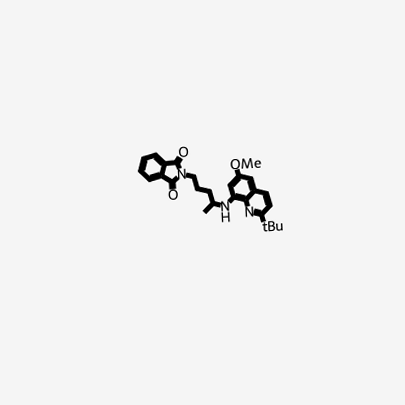 COc1cc(NC(C)CCCN2C(=O)c3ccccc3C2=O)c2nc(C(C)(C)C)ccc2c1